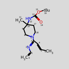 C=C/N=C(\C=C\C)N1CCC(C)(NC(=O)OC(C)(C)C)CC1